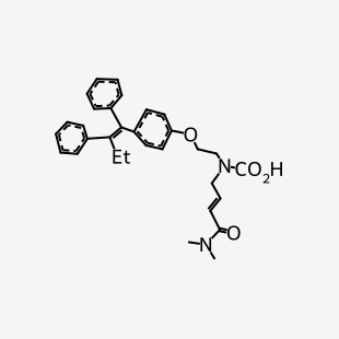 CCC(=C(c1ccccc1)c1ccc(OCCN(CC=CC(=O)N(C)C)C(=O)O)cc1)c1ccccc1